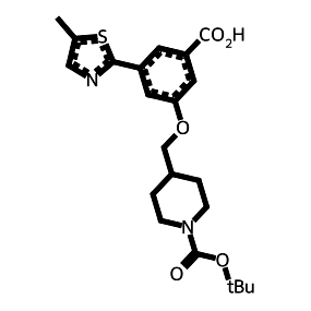 Cc1cnc(-c2cc(OCC3CCN(C(=O)OC(C)(C)C)CC3)cc(C(=O)O)c2)s1